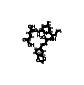 CCCC(NC(=O)C=Cc1ccc2c(c1)OCO2)c1cc(C)cc(N)n1.O=C(O)C=CC(=O)O